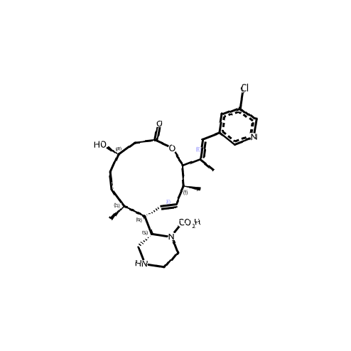 C/C(=C\c1cncc(Cl)c1)C1OC(=O)C[C@H](O)CC[C@H](C)[C@@H]([C@H]2CNCCN2C(=O)O)/C=C/[C@@H]1C